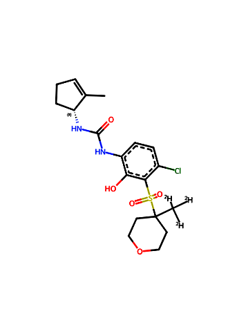 [2H]C([2H])([2H])C1(S(=O)(=O)c2c(Cl)ccc(NC(=O)N[C@@H]3CCC=C3C)c2O)CCOCC1